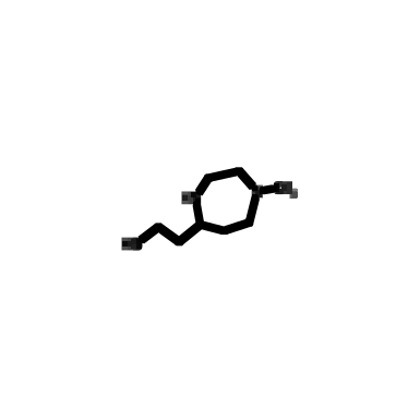 CN1CCNC(CCO)CC1